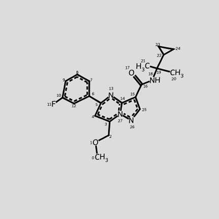 COCc1cc(-c2cccc(F)c2)nc2c(C(=O)NC(C)(C)C3CC3)cnn12